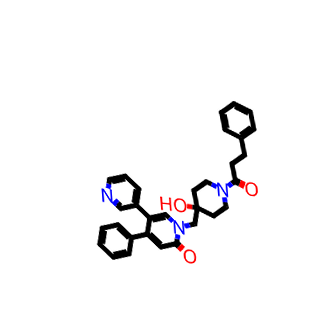 O=C(CCc1ccccc1)N1CCC(O)(Cn2cc(-c3cccnc3)c(-c3ccccc3)cc2=O)CC1